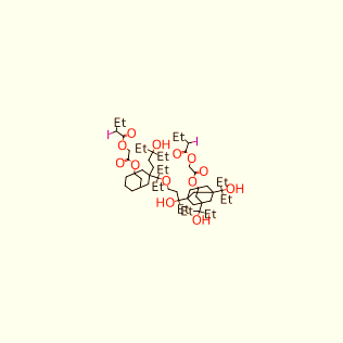 CCC(I)C(=O)OCC(=O)OC12CC3(C(O)(CC)CC)CC(C(O)(CC)CC)(C1)CC(C(O)(CC)CCOC(CC)(CC)C1(CCC(O)(CC)CC)CC4CCCC(OC(=O)COC(=O)C(I)CC)(C4)C1)(C2)C3